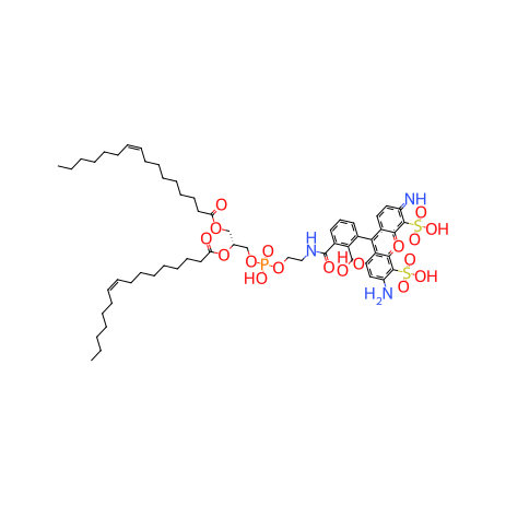 CCCCCC/C=C\CCCCCCCC(=O)OC[C@H](COP(=O)(O)OCCNC(=O)c1cccc(-c2c3ccc(=N)c(S(=O)(=O)O)c-3oc3c(S(=O)(=O)O)c(N)ccc23)c1C(=O)O)OC(=O)CCCCCCC/C=C\CCCCCC